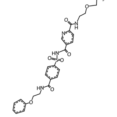 CCOCCNC(=O)c1ccc(C(=O)NS(=O)(=O)c2ccc(C(=O)NCCOc3ccccc3)cc2)cn1